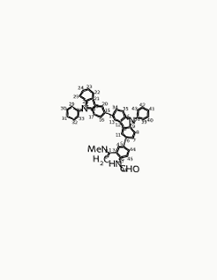 C=C(NC)c1cc(-c2ccc3c(c2)c2cc(-c4ccc5c(c4)c4ccccc4n5-c4ccccc4)ccc2n3-c2ccccc2)ccc1NC=O